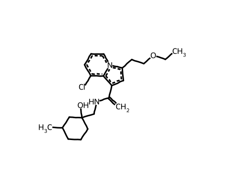 C=C(NCC1(O)CCCC(C)C1)c1cc(CCOCC)n2cccc(Cl)c12